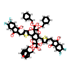 O=C1C(=Cc2cc3c(s2)-c2cc4c(cc2C(C(=O)OCc2ccccc2)(C(=O)OCc2ccccc2)O3)-c2sc(C=C3C(=O)c5cc(F)c(F)cc5C3=O)cc2OC4(C(=O)OCc2ccccc2)C(=O)OCc2ccccc2)C(=O)c2cc(F)c(F)cc21